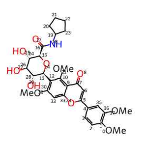 COc1ccc(-c2cc(=O)c3c(OC)c([C@@H]4O[C@H](C(=O)NC5CCCC5)[C@@H](O)[C@H](O)[C@H]4O)c(OC)cc3o2)cc1OC